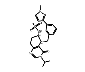 CC(C)n1cnc2c(c1=O)[C@@H](Cc1cccc(-c3ccn(C)n3)c1)[C@@H](NS(C)(=O)=O)CC2